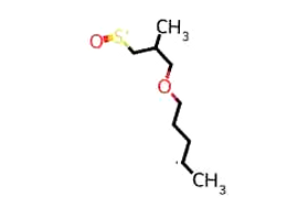 C[CH]CCCOCC(C)C[S+]=O